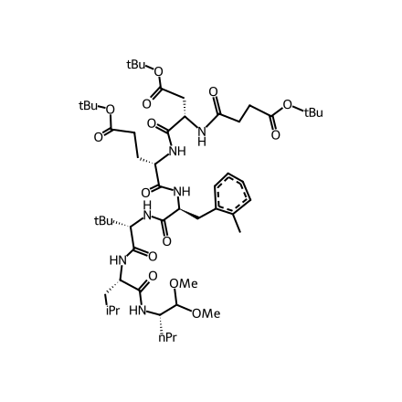 CCC[C@H](NC(=O)[C@H](CC(C)C)NC(=O)[C@@H](NC(=O)[C@H](Cc1ccccc1C)NC(=O)[C@H](CCC(=O)OC(C)(C)C)NC(=O)[C@H](CC(=O)OC(C)(C)C)NC(=O)CCC(=O)OC(C)(C)C)C(C)(C)C)C(OC)OC